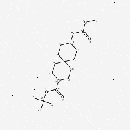 COC(=O)CN1CCC2(CC1)CCN(C(=O)OC(C)(C)C)CC2